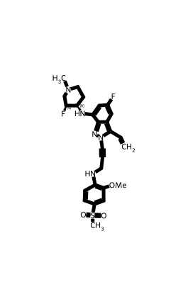 C=Cc1c2cc(F)cc(N[C@@H]3CCN(C)C[C@@H]3F)c2nn1C#CCNc1ccc(S(C)(=O)=O)cc1OC